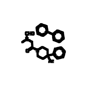 CC(=O)C1(c2ccccc2)CCN(C(=O)CN(C)C=O)CC1.c1ccc(-c2ccccc2)cc1